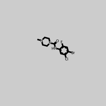 CN1CCN(C(=O)Nc2cc(Cl)c(Br)cc2F)CC1